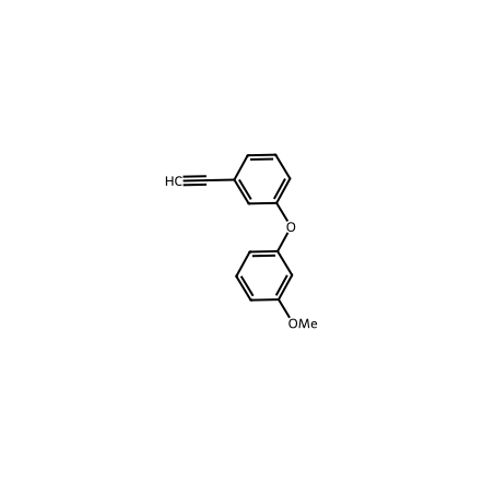 C#Cc1cccc(Oc2cccc(OC)c2)c1